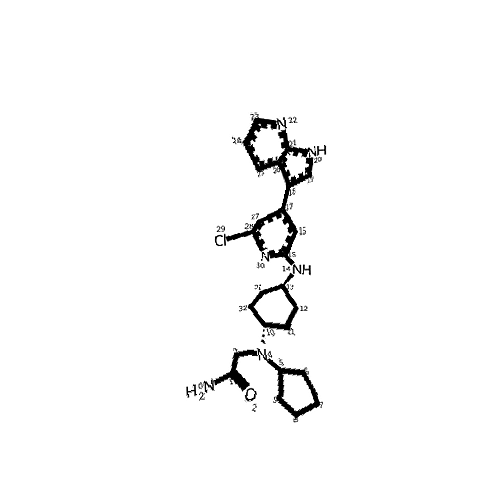 NC(=O)CN(C1CCCC1)[C@H]1CC[C@H](Nc2cc(-c3c[nH]c4ncccc34)cc(Cl)n2)CC1